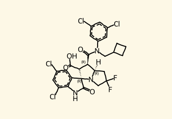 O=C(O)C1[C@@H](C(=O)N(CC2CCC2)c2cc(Cl)cc(Cl)c2)[C@H]2CC(F)(F)CN2[C@]12C(=O)Nc1c(Cl)cc(Cl)cc12